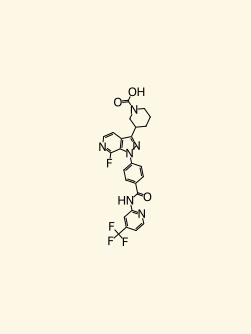 O=C(Nc1cc(C(F)(F)F)ccn1)c1ccc(-n2nc(C3CCCN(C(=O)O)C3)c3ccnc(F)c32)cc1